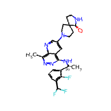 Cc1nnc(N[C@H](C)c2cccc(C(F)F)c2F)c2cc(N3CCC4(CCNC4=O)CC3)cnc12